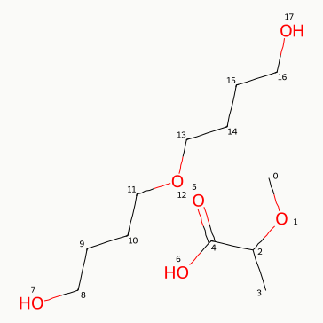 COC(C)C(=O)O.OCCCCOCCCCO